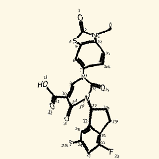 Cn1c(=O)sc2cc(-n3cc(C(=O)O)c(=O)n(C4CCc5c(F)cc(F)cc54)c3=O)ccc21